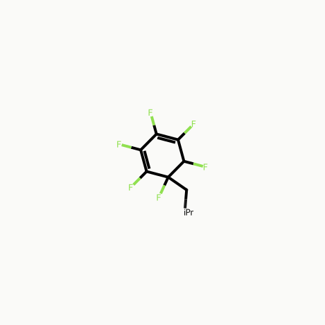 CC(C)CC1(F)C(F)=C(F)C(F)=C(F)C1F